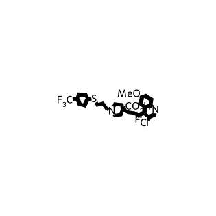 COc1ccc2ncc(Cl)c([C@H](F)CCC3(C(=O)O)CCN(CCCSc4ccc(C(F)(F)F)cc4)CC3)c2c1